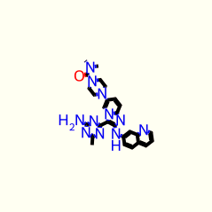 Cc1nc(N)nc(-c2c(Nc3ccc4cccnc4c3)nc3ccc(N4CCN(C(=O)N(C)C)CC4)cn23)n1